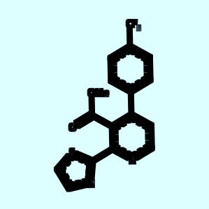 COC(=O)c1c(-c2ccc(C(F)(F)F)cc2)ccnc1-c1nccs1